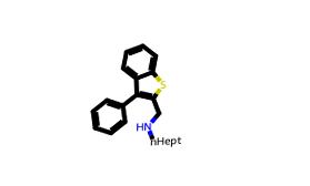 CCCCCCCNCc1sc2ccccc2c1-c1ccccc1